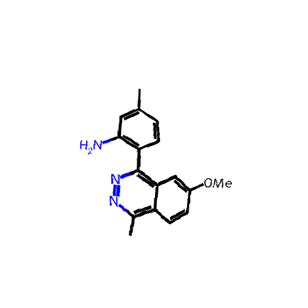 COc1ccc2c(C)nnc(-c3ccc(C)cc3N)c2c1